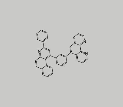 c1ccc(-c2cc(-c3cccc(-c4cc5cccnc5c5ncccc45)c3)c3c(ccc4ccccc43)n2)cc1